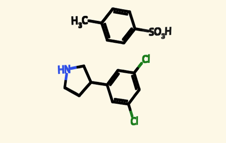 Cc1ccc(S(=O)(=O)O)cc1.Clc1cc(Cl)cc(C2CCNC2)c1